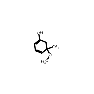 COC1(C)C=CC=C(O)C1